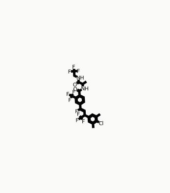 Cc1cc(C(/C=C(\F)c2ccc(C(=O)NC(C)C(=O)NCC(F)(F)F)c(C(F)(F)F)c2)C(F)(F)F)cc(C)c1Cl